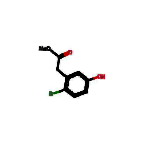 COC(=O)Cc1cc(O)ccc1Br